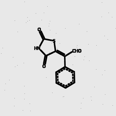 O=C/C(=C1\SC(=O)NC1=O)c1ccccc1